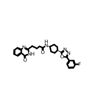 O=C(CCCc1nc2ccccc2c(=O)[nH]1)N[C@H]1CC[C@H](c2nnc(-c3cccc(F)c3)o2)CC1